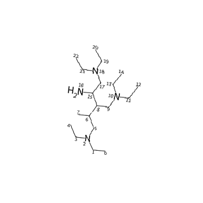 CCN(CC)CC(C)C(CN(CC)CC)C(N)CN(CC)CC